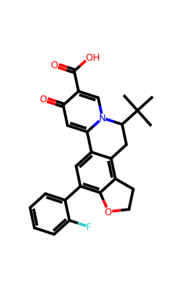 CC(C)(C)C1Cc2c(cc(-c3ccccc3F)c3c2CCO3)-c2cc(=O)c(C(=O)O)cn21